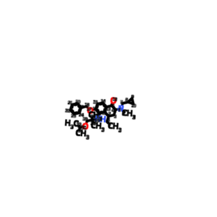 CCC1CC(N(C)CC2CC2)C(=O)c2ccc(OCc3ccccc3)c(NC(C)(C)COC(C)C)c21